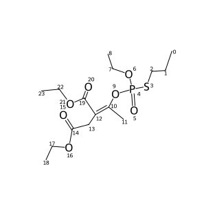 CCCSP(=O)(OCC)OC(C)=C(CC(=O)OCC)C(=O)OCC